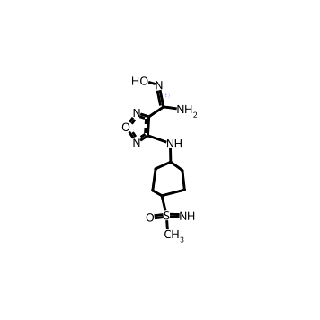 CS(=N)(=O)C1CCC(Nc2nonc2/C(N)=N\O)CC1